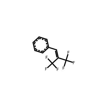 FC(F)(F)C(=Cc1ccccc1)C(F)(F)F